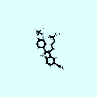 N#Cc1ccc2[nH]c(-c3ccc(OC(F)(F)F)cc3)c(CCCC(=O)O)c2c1